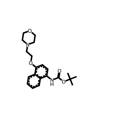 CC(C)(C)OC(=O)Nc1ccc(OCCN2CCOCC2)c2ccccc12